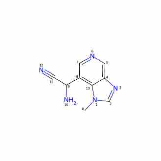 Cn1cnc2cncc(C(N)C#N)c21